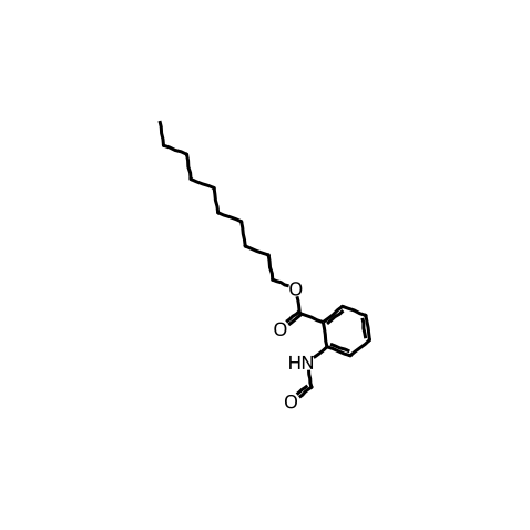 CCCCCCCCCCOC(=O)c1ccccc1NC=O